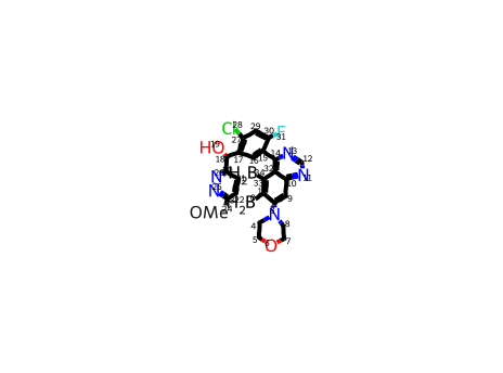 Bc1c(N2CCOCC2)cc2ncnc(-c3cc(C(O)c4ccc(OC)nn4)c(Cl)cc3F)c2c1B